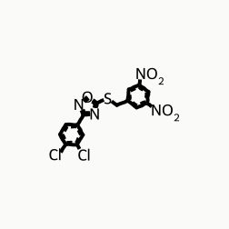 O=[N+]([O-])c1cc(CSc2nc(-c3ccc(Cl)c(Cl)c3)no2)cc([N+](=O)[O-])c1